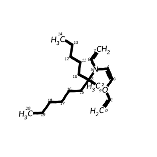 C=CO/C=C\N(C=C)C(C)(CCCCC)CCCCCC